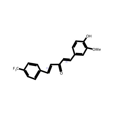 COc1cc(/C=C/C(=O)/C=C/c2ccc(C(F)(F)F)cc2)ccc1O